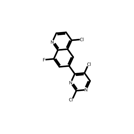 Fc1cc(-c2nc(Cl)ncc2Cl)cc2c(Cl)ccnc12